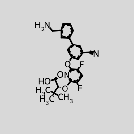 CC(C)(C)[C@@H](Oc1nc(Oc2cc(C#N)cc(-c3cccc(CN)c3)c2)c(F)cc1F)C(=O)O